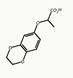 CC(Oc1ccc2c(c1)OCCO2)C(=O)O